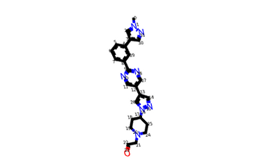 Cn1cc(-c2cccc(-c3ncc(-c4cnn(C5CCN(CC=O)CC5)c4)cn3)c2)cn1